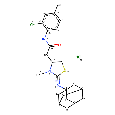 CCCN1/C(=N/C23CC4CC(CC(C4)C2)C3)SCC1CC(=O)Nc1ccc(C)cc1Cl.Cl